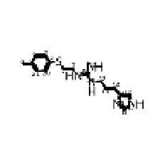 Cc1ccc(SCCNC(=N)NCCCc2c[nH]cn2)cc1